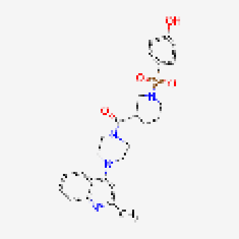 Cc1cc(N2CCN(C(=O)C3CCCN(S(=O)(=O)c4ccc(O)cc4)C3)CC2)c2ccccc2n1